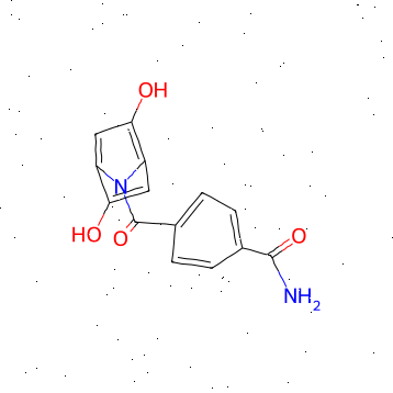 NC(=O)c1ccc(C(=O)n2c3cc(O)c2cc3O)cc1